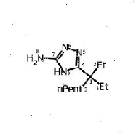 CCCCCC(CC)(CC)c1nnc(N)[nH]1